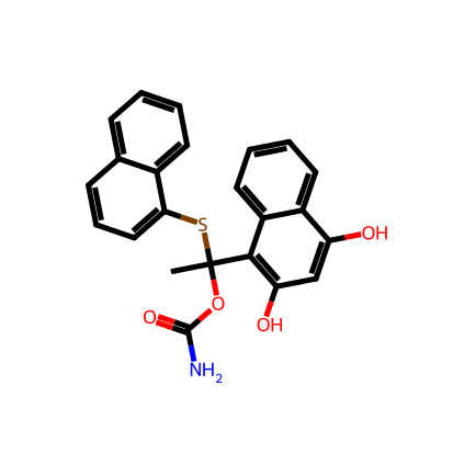 CC(OC(N)=O)(Sc1cccc2ccccc12)c1c(O)cc(O)c2ccccc12